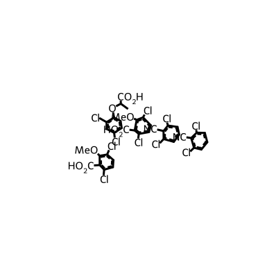 CC(Oc1ccc(Cl)cc1Cl)C(=O)O.COc1c(Cl)ccc(Cl)c1C(=O)O.COc1c(Cl)ccc(Cl)c1C(=O)O.N#Cc1c(Cl)cccc1Cl.N#Cc1c(Cl)cccc1Cl